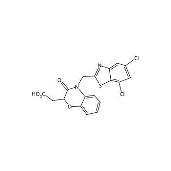 O=C(O)CC1Oc2ccccc2N(Cc2nc3cc(Cl)cc(Cl)c3s2)C1=O